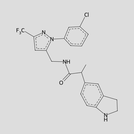 CC(C(=O)NCc1cc(C(F)(F)F)nn1-c1cccc(Cl)c1)c1ccc2c(c1)CCN2